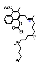 CCC(=O)Oc1c(C/C=C(\C)CCC[C@H](C)CCC[C@H](C)CCCC(C)C)c(C)c(OC(C)=O)c2ccccc12